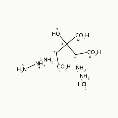 Cl.N.N.N.NN.O=C(O)CC(O)(CC(=O)O)C(=O)O